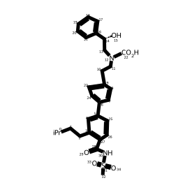 CC(C)CCc1cc(-c2ccc(CCN(C[C@@H](O)c3ccccc3)C(=O)O)cc2)ccc1C(=O)NS(C)(=O)=O